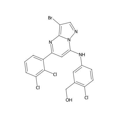 OCc1cc(Nc2cc(-c3cccc(Cl)c3Cl)nc3c(Br)cnn23)ccc1Cl